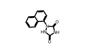 O=c1[nH]c(=O)n(-c2cccc3ccccc23)[nH]1